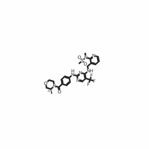 C[C@H]1COCCN1C(=O)c1ccc(Nc2ncc(C(F)(F)F)c(NCc3cccnc3N(C)S(C)(=O)=O)n2)cc1